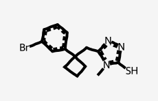 Cn1c(S)nnc1CC1(c2cccc(Br)c2)CCC1